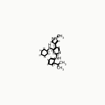 CC(C)c1ccccc1Nc1ncc(-c2cnn(C)c2)c(NC2CCCCC2)n1